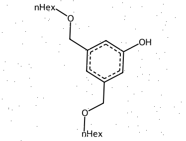 CCCCCCOCc1cc(O)cc(COCCCCCC)c1